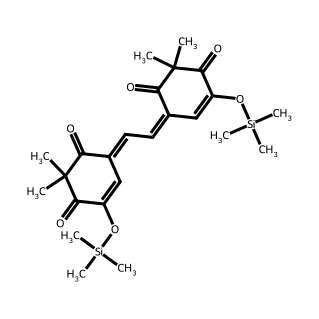 CC1(C)C(=O)C(=CC=C2C=C(O[Si](C)(C)C)C(=O)C(C)(C)C2=O)C=C(O[Si](C)(C)C)C1=O